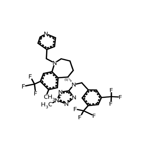 Cc1cc2c(cc1C(F)(F)F)N(Cc1ccncc1)CCC[C@@H]2N(Cc1cc(C(F)(F)F)cc(C(F)(F)F)c1)c1nnn(C)n1